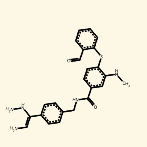 CNc1cc(C(=O)NCc2ccc(/C(=C/N)NN)cc2)ccc1Sc1ccccc1C=O